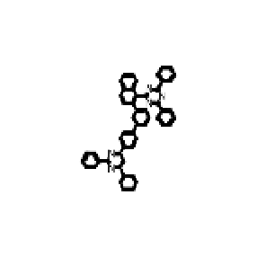 c1ccc(-c2cc(-c3ccc(-c4cccc(-c5ccc6ccccc6c5-c5nc(-c6ccccc6)nc(-c6ccccc6)n5)c4)cc3)nc(-c3ccccc3)n2)cc1